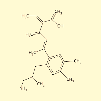 C=C(O)/C(=C/C)C(=C)/C=C(\C)c1cc(C)c(C)cc1CC(C)CN